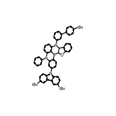 CC(C)(C)c1ccc(-c2cccc(N3c4cccc5c4B(c4ccc(-n6c7ccc(C(C)(C)C)cc7c7cc(C(C)(C)C)ccc76)cc4N5c4ccccc4)C4Oc5ccccc5C43)c2)cc1